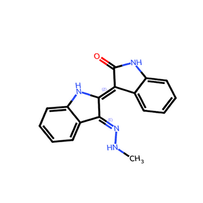 CN/N=C1/C(=C2/C(=O)Nc3ccccc32)Nc2ccccc21